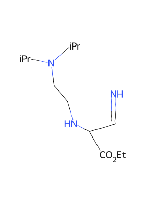 CCOC(=O)C(C=N)NCCN(C(C)C)C(C)C